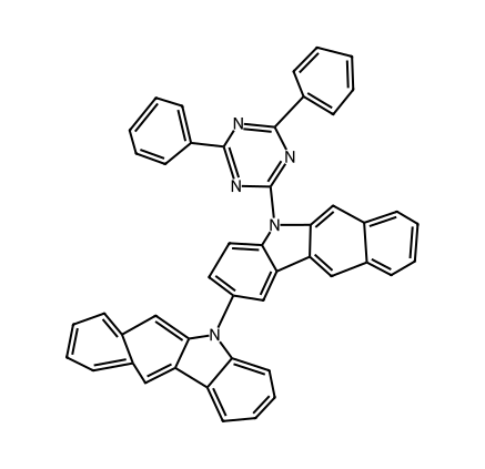 c1ccc(-c2nc(-c3ccccc3)nc(-n3c4ccc(-n5c6ccccc6c6cc7ccccc7cc65)cc4c4cc5ccccc5cc43)n2)cc1